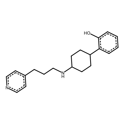 Oc1ccccc1C1CCC(NCCCc2ccncc2)CC1